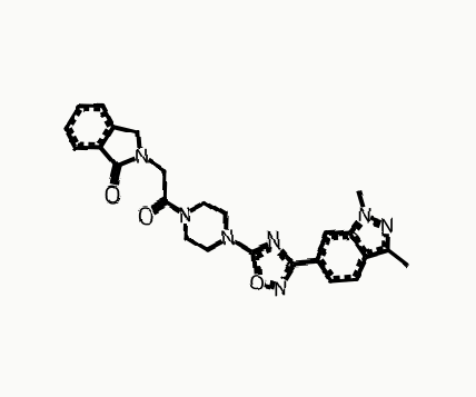 Cc1nn(C)c2cc(-c3noc(N4CCN(C(=O)CN5Cc6ccccc6C5=O)CC4)n3)ccc12